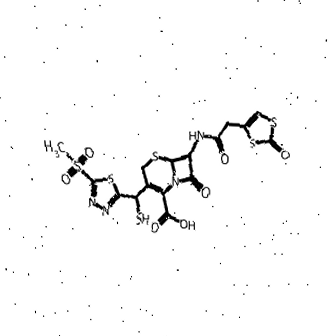 CS(=O)(=O)c1nnc(C(S)C2=C(C(=O)O)N3C(=O)C(NC(=O)Cc4csc(=O)s4)C3SC2)s1